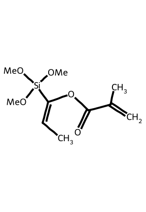 C=C(C)C(=O)OC(=CC)[Si](OC)(OC)OC